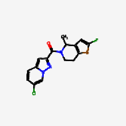 CC1c2cc(F)sc2CCN1C(=O)c1cc2ccc(Cl)cn2n1